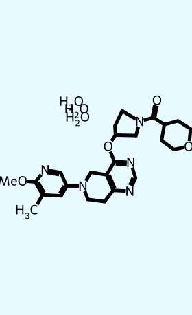 COc1ncc(N2CCc3ncnc(OC4CCN(C(=O)C5CCOCC5)C4)c3C2)cc1C.O.O.O